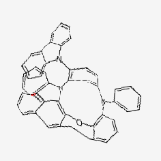 c1ccc(N2c3ccc(-n4c5ccccc5c5ccccc54)c(c3)N(c3ccccc3)c3c4ccccc4cc4c3oc3c2cccc34)cc1